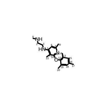 CNCCNc1cc(C)nc(Oc2c(C)cc(C)cc2C)c1C